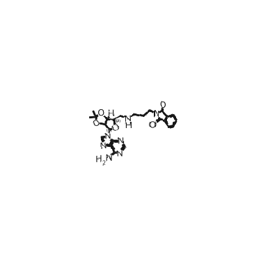 CC1(C)OC2[C@H](n3cnc4c(N)ncnc43)O[C@H](CNCCCN3C(=O)c4ccccc4C3=O)[C@H]2O1